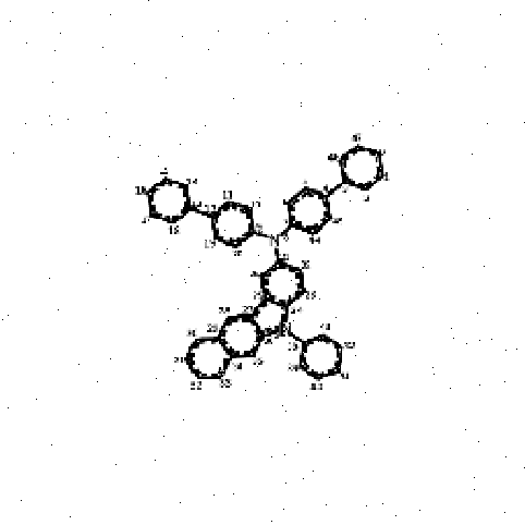 c1ccc(-c2ccc(N(c3ccc(-c4ccccc4)cc3)c3ccc4c(c3)c3cc5ccccc5cc3n4-c3ccccc3)cc2)cc1